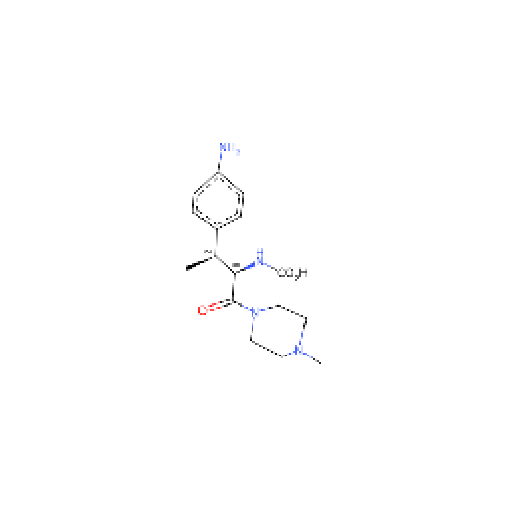 C[C@@H](c1ccc(N)cc1)[C@@H](NC(=O)O)C(=O)N1CCN(C)CC1